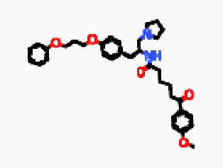 COc1ccc(C(=O)CCCCC(=O)NC(Cc2ccc(OCCCOc3ccccc3)cc2)CN2CCCC2)cc1